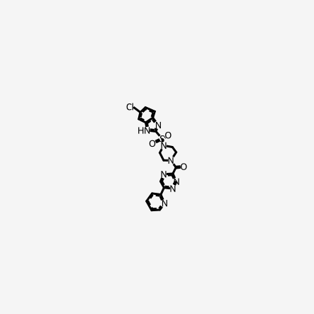 O=C(c1ncc(-c2ccccn2)nn1)N1CCN(S(=O)(=O)c2nc3ccc(Cl)cc3[nH]2)CC1